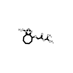 CC(C)OC(=O)COC1CCCCCc2c1nnn2C